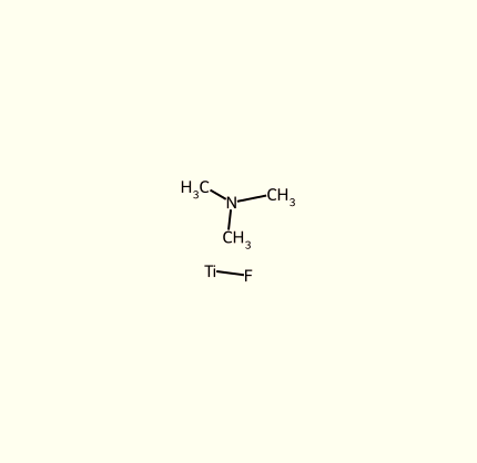 CN(C)C.[F][Ti]